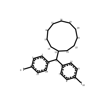 Ic1ccc(C(c2ccc(I)cc2)C2CCCCCCCCCC2)cc1